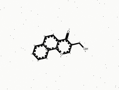 O=c1c(CO)coc2c1ccc1ccccc12